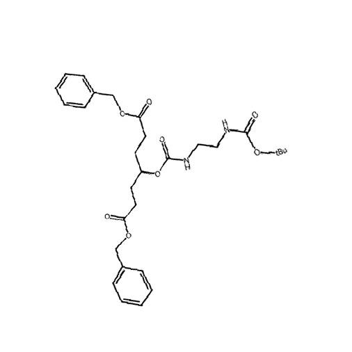 CC(C)(C)OC(=O)NCCNC(=O)OC(CCC(=O)OCc1ccccc1)CCC(=O)OCc1ccccc1